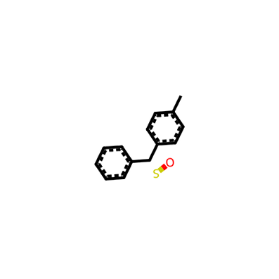 Cc1ccc(Cc2ccccc2)cc1.O=S